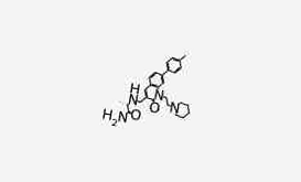 Cc1ccc(-c2ccc3cc(CN[C@@H](C)C(N)=O)c(=O)n(CCN4CCCCC4)c3c2)cc1